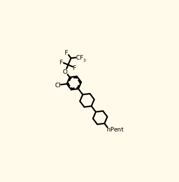 CCCCCC1CCC(C2CCC(c3ccc(OC(F)(F)C(F)C(F)(F)F)c(Cl)c3)CC2)CC1